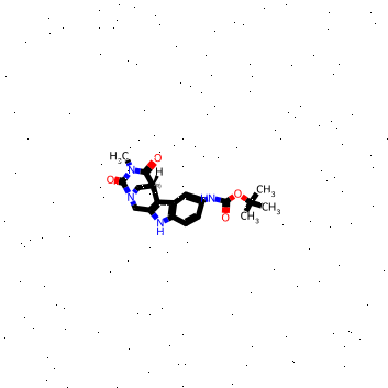 CN1C(=O)[C@H]2CN(Cc3[nH]c4ccc(NC(=O)OC(C)(C)C)cc4c32)C1=O